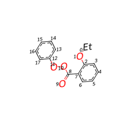 CCOc1ccccc1C(=O)OOc1ccccc1